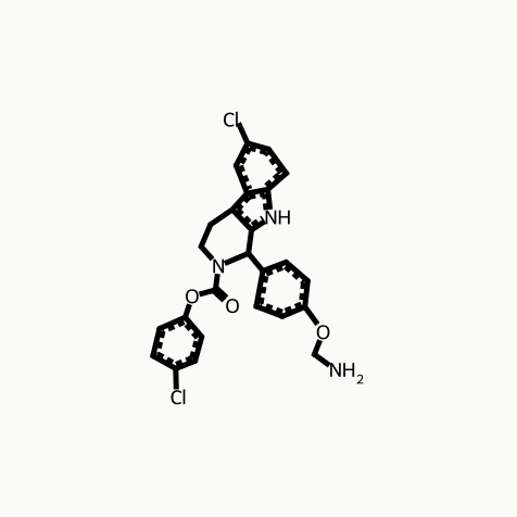 NCOc1ccc(C2c3[nH]c4ccc(Cl)cc4c3CCN2C(=O)Oc2ccc(Cl)cc2)cc1